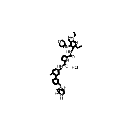 CCc1nc2c(cnn2CC)c(NC2CCOCC2)c1CNC(=O)c1cccc(C(=O)NCc2ccc(C)c(-c3cccc(CN4C[C@@H]5C[C@H]4CN5)c3)c2)n1.Cl